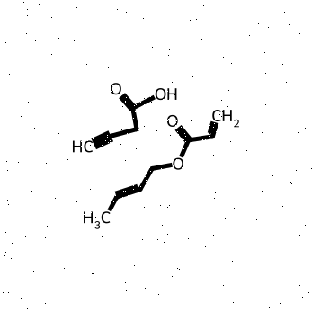 C#CCC(=O)O.C=CC(=O)OCC=CC